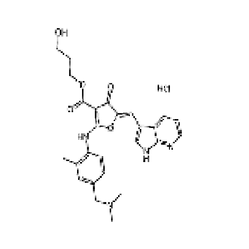 Cc1cc(CN(C)C)ccc1NC1=C(C(=O)OCCCO)C(=O)C(=Cc2c[nH]c3ncccc23)O1.Cl